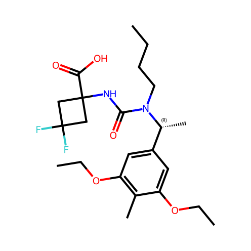 CCCCN(C(=O)NC1(C(=O)O)CC(F)(F)C1)[C@H](C)c1cc(OCC)c(C)c(OCC)c1